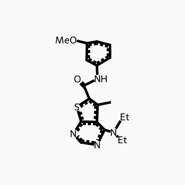 CCN(CC)c1ncnc2sc(C(=O)Nc3cccc(OC)c3)c(C)c12